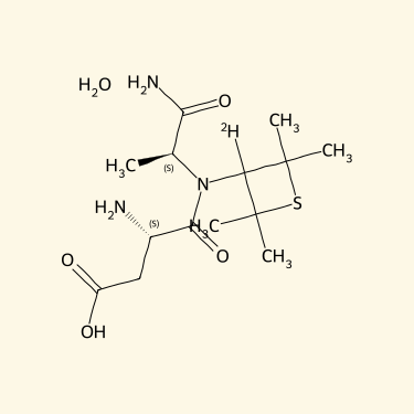 O.[2H]C1(N(C(=O)[C@@H](N)CC(=O)O)[C@@H](C)C(N)=O)C(C)(C)SC1(C)C